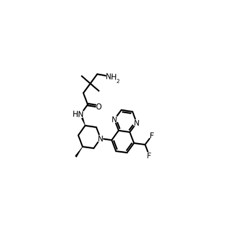 C[C@H]1C[C@@H](NC(=O)CC(C)(C)CN)CN(c2ccc(C(F)F)c3nccnc23)C1